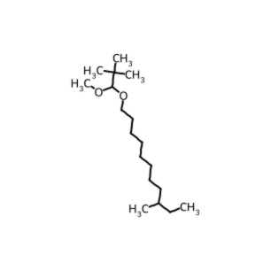 CCC(C)CCCCCCCCOC(OC)C(C)(C)C